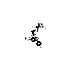 Cc1ncc2c(c1OC(=O)C1CC1CO/N=[N+](\O)N(C)C(C)(C)C)CO[C@H]2c1ccc(Cl)cc1